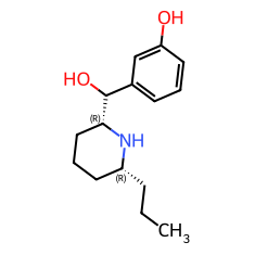 CCC[C@@H]1CCC[C@H](C(O)c2cccc(O)c2)N1